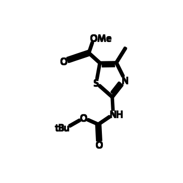 COC(=O)c1sc(NC(=O)OC(C)(C)C)nc1C